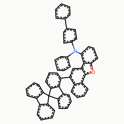 c1ccc(-c2ccc(N(c3ccccc3)c3cccc4oc5c6ccccc6c(-c6cccc7c6-c6ccccc6C76c7ccccc7-c7ccccc76)cc5c34)cc2)cc1